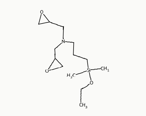 CCO[Si](C)(C)CCCN(CC1CO1)CC1CO1